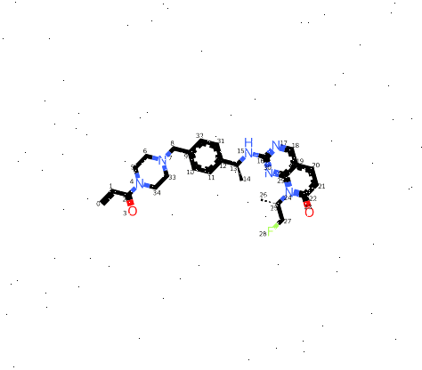 C=CC(=O)N1CCN(Cc2ccc([C@H](C)Nc3ncc4ccc(=O)n([C@@H](C)CF)c4n3)cc2)CC1